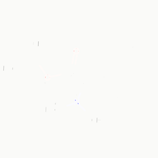 CC(C)OC(=O)C(c1ccccc1)N(C)C